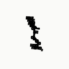 C#CCCN(CCS(=O)(=O)NC(=O)c1c(F)c(F)c(N=[N+]=[N-])c(F)c1F)C(=O)CCNCCCCC(=O)N(C)Cc1ccc(C(=O)c2cc(O)c(O)c([N+](=O)[O-])c2)cc1